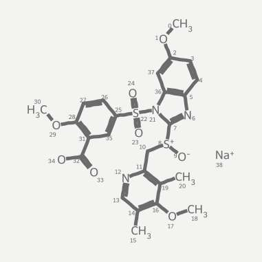 COc1ccc2nc([S+]([O-])Cc3ncc(C)c(OC)c3C)n(S(=O)(=O)c3ccc(OC)c(C(=O)[O-])c3)c2c1.[Na+]